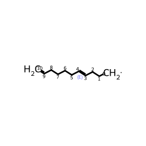 [CH2]CC/C=C/CCCCC=C